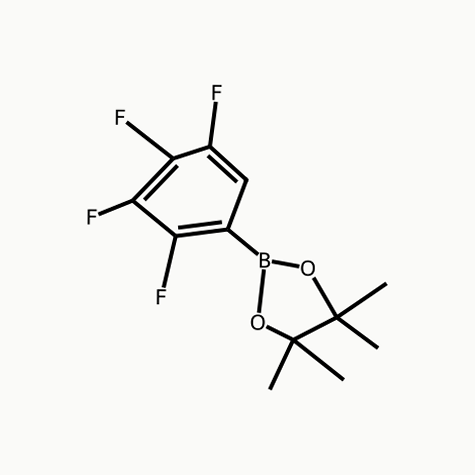 CC1(C)OB(c2cc(F)c(F)c(F)c2F)OC1(C)C